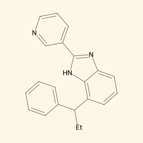 CCC(c1ccccc1)c1cccc2nc(-c3cccnc3)[nH]c12